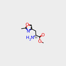 COC(=O)[C@@H](N)Cc1coc(C)n1